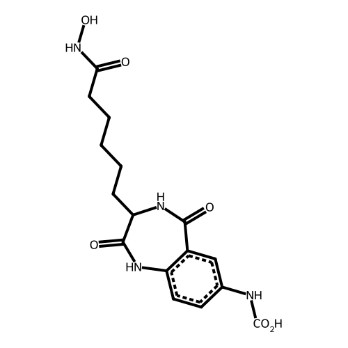 O=C(O)Nc1ccc2c(c1)C(=O)NC(CCCCCC(=O)NO)C(=O)N2